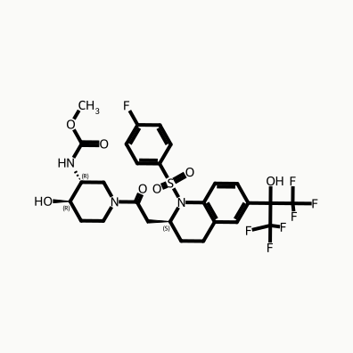 COC(=O)N[C@@H]1CN(C(=O)C[C@@H]2CCc3cc(C(O)(C(F)(F)F)C(F)(F)F)ccc3N2S(=O)(=O)c2ccc(F)cc2)CC[C@H]1O